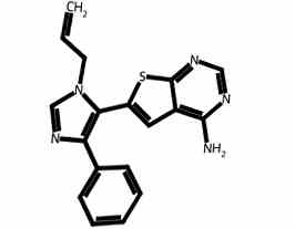 C=CCn1cnc(-c2ccccc2)c1-c1cc2c(N)ncnc2s1